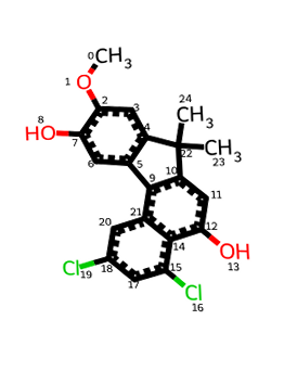 COc1cc2c(cc1O)-c1c(cc(O)c3c(Cl)cc(Cl)cc13)C2(C)C